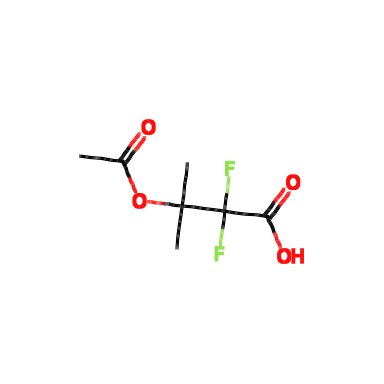 CC(=O)OC(C)(C)C(F)(F)C(=O)O